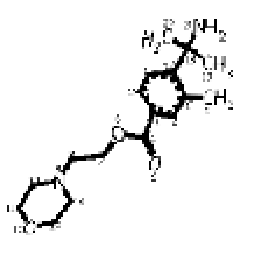 Cc1cc(C(=O)OCCN2CCOCC2)ccc1C(C)(C)N